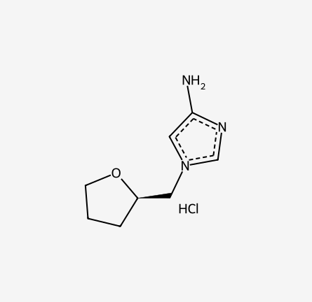 Cl.Nc1cn(C[C@H]2CCCO2)cn1